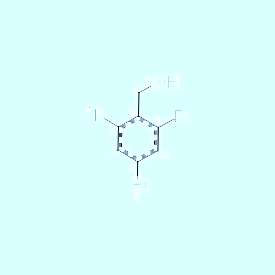 CCc1cc(F)c(CO)c(F)c1